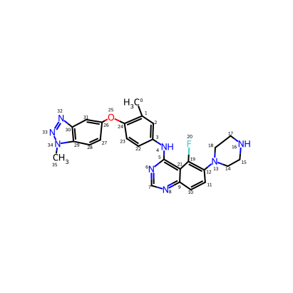 Cc1cc(Nc2ncnc3ccc(N4CCNCC4)c(F)c23)ccc1Oc1ccc2c(c1)nnn2C